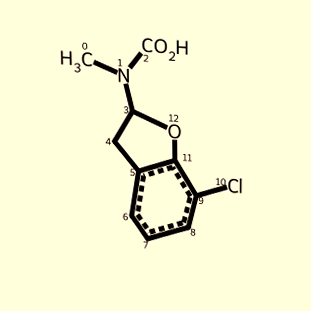 CN(C(=O)O)C1Cc2cccc(Cl)c2O1